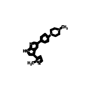 CN1CCN(c2ccc(-c3cnc4[nH]cc(-c5ccnn5C)c4c3)cc2)CC1